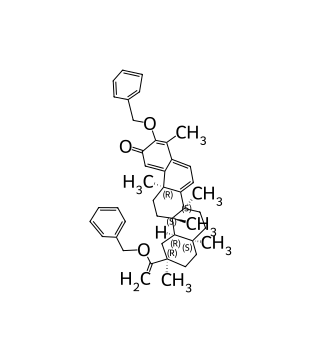 C=C(OCc1ccccc1)[C@]1(C)CC[C@]2(C)CC[C@]3(C)C4=CC=C5C(=CC(=O)C(OCc6ccccc6)=C5C)[C@]4(C)CC[C@@]3(C)[C@@H]2C1